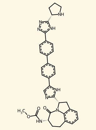 COC(=O)N[C@H]1CCc2cccc3c2N(C1=O)[C@H](c1ncc(-c2ccc(-c4ccc(-c5nnc([C@@H]6CCCN6)[nH]5)cc4)cc2)[nH]1)C3